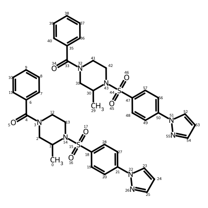 CC1CN(C(=O)c2ccccc2)CCN1S(=O)(=O)c1ccc(-n2cccn2)cc1.CC1CN(C(=O)c2ccccc2)CCN1S(=O)(=O)c1ccc(-n2cccn2)cc1